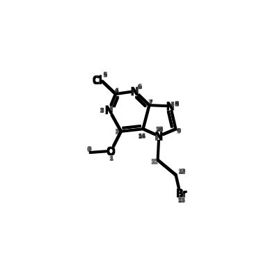 COc1nc(Cl)nc2ncn(CCBr)c12